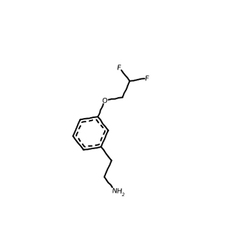 NCCc1cccc(OCC(F)F)c1